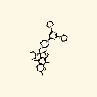 CCN(CC)C(CN1CCN(c2cc(N3CCCC3)nc(N3CCCC3)n2)CC1)(C([O])=O)c1c(C)c(C)c2c(c1C)CCC(C)O2